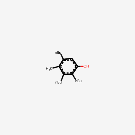 CCCCc1cc(O)c(CCCC)c(CCCC)c1C